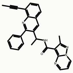 CC#Cc1cccc2cc(C(C)NC(=O)c3c(C)nn4cccnc34)c(-c3ccccc3)nc12